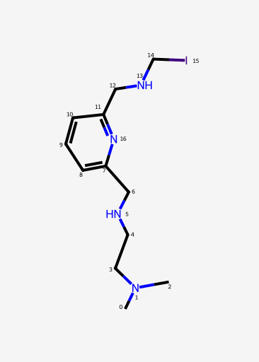 CN(C)CCNCc1cccc(CNCI)n1